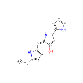 CCc1ccc(/C=C2/N=C(c3ccc[nH]3)C=C2O)[nH]1